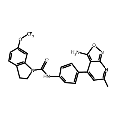 Cc1cc(-c2ccc(NC(=O)N3CCc4ccc(OC(F)(F)F)cc43)cc2)c2c(N)onc2n1